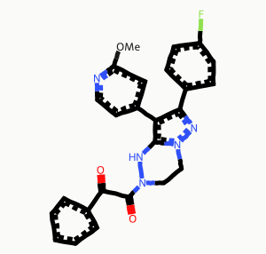 COc1cc(-c2c(-c3ccc(F)cc3)nn3c2NN(C(=O)C(=O)c2ccccc2)CC3)ccn1